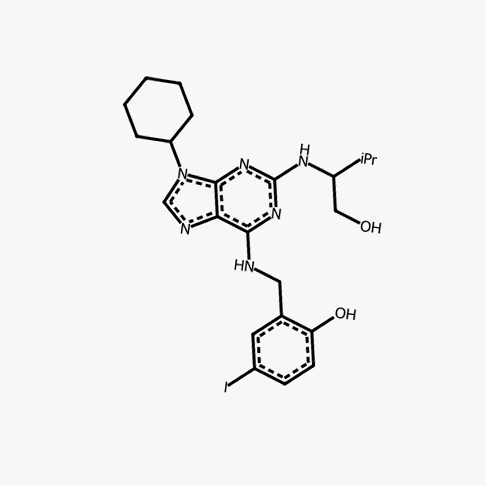 CC(C)C(CO)Nc1nc(NCc2cc(I)ccc2O)c2ncn(C3CCCCC3)c2n1